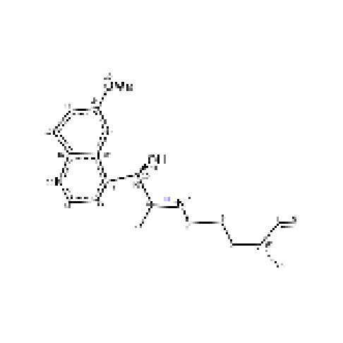 C=C[C@H](C)CCC/N=C(\C)[C@H](O)c1ccnc2ccc(OC)cc12